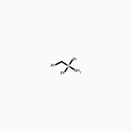 CC(C)C[Si](N)(C(C)C)C(C)C